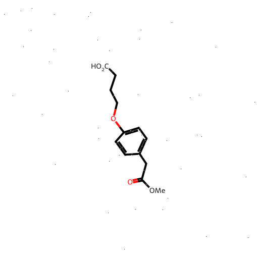 COC(=O)Cc1ccc(OCCCC(=O)O)cc1